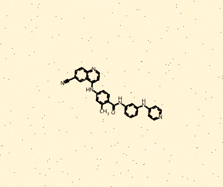 Cc1cc(Nc2ccnc3ccc(C#N)cc23)ccc1C(=O)Nc1cccc(Nc2ccncc2)c1